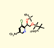 CCCCCCCC(C)(C)[Si](C)(C)OCC(O[Si](C)(C)C(C)(C)C)c1ncc([N+](=O)[O-])cc1Cl